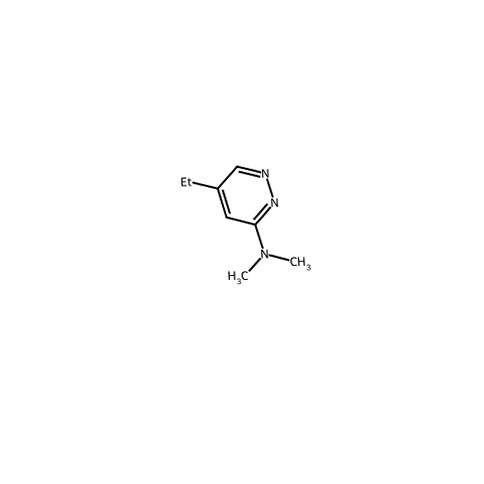 CCc1cnnc(N(C)C)c1